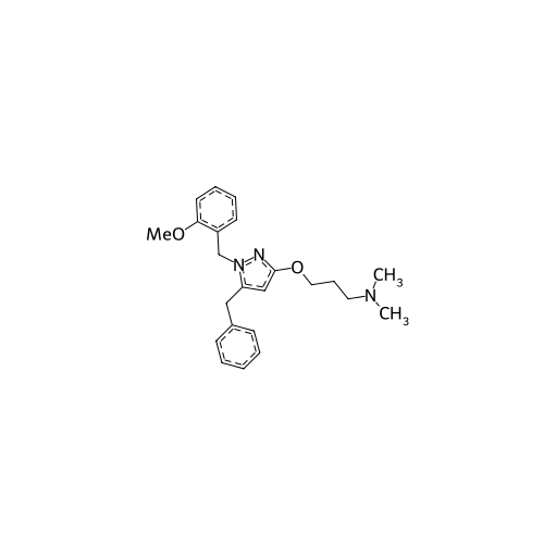 COc1ccccc1Cn1nc(OCCCN(C)C)cc1Cc1ccccc1